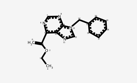 C=C(OCC)c1ncnc2c1ncn2Cc1ccccc1